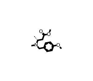 COC(=O)C[C@@H](C)N(C)Cc1ccc(OC)cc1